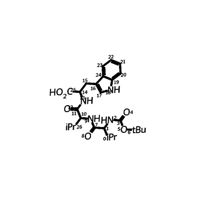 CC(C)C(NC(=O)OC(C)(C)C)C(=O)NC(C(=O)NC(Cc1c[nH]c2ccccc12)C(=O)O)C(C)C